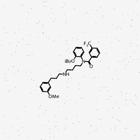 COc1cccc(CCCNCCCCN(C(=O)c2cccc(C(F)(F)F)c2)c2ccccc2OCC(C)C)c1